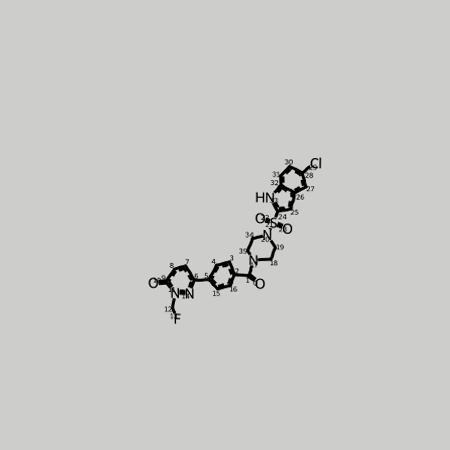 O=C(c1ccc(-c2ccc(=O)n(CF)n2)cc1)N1CCN(S(=O)(=O)c2cc3cc(Cl)ccc3[nH]2)CC1